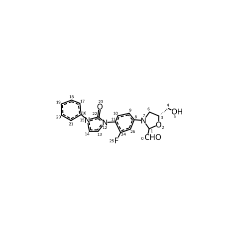 O=CC1O[C@@H](CO)CN1c1ccc(-n2ccn(-c3ccccc3)c2=O)c(F)c1